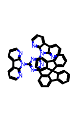 c1ccc2c(c1)-c1ccccc1C21c2ccccc2-c2cccc(-c3nc(-n4c5ncccc5c5cccnc54)nc(-n4c5ncccc5c5cccnc54)n3)c21